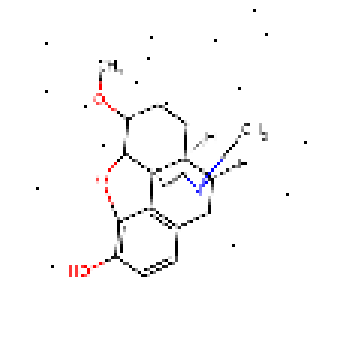 COC1CC[C@H]2[C@H]3Cc4ccc(O)c5c4[C@@]2(CCN3C)C1O5